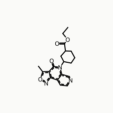 CCOC(=O)C1CCCC(n2c(=O)c3c(C)onc3c3ccncc32)C1